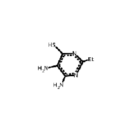 CCc1nc(N)c(N)c(S)n1